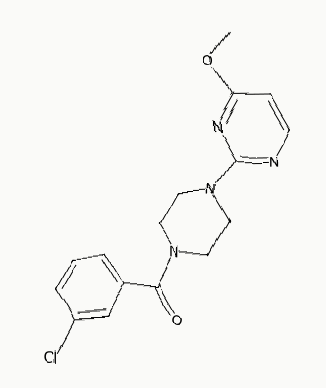 COc1ccnc(N2CCN(C(=O)c3cccc(Cl)c3)CC2)n1